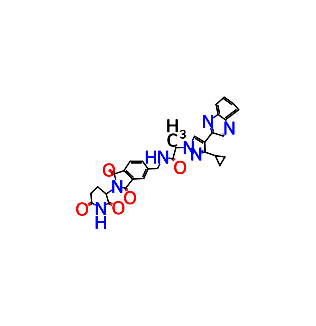 CC(C(=O)NCc1ccc2c(c1)C(=O)N(C1CCC(=O)NC1=O)C2=O)n1cc(-c2cnc3ccccc3n2)c(C2CC2)n1